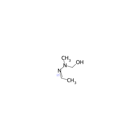 C/C=N\N(C)CO